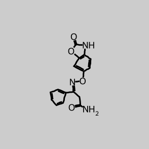 NC(=O)C/C(=N\Oc1ccc2[nH]c(=O)oc2c1)c1ccccc1